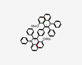 COc1ccccc1/C(=C(\B(c1ccccc1)c1ccccc1)c1ccccc1)c1ccc(/C(=C(/B(c2ccccc2)c2ccccc2)c2ccccc2)c2ccccc2OC)cc1